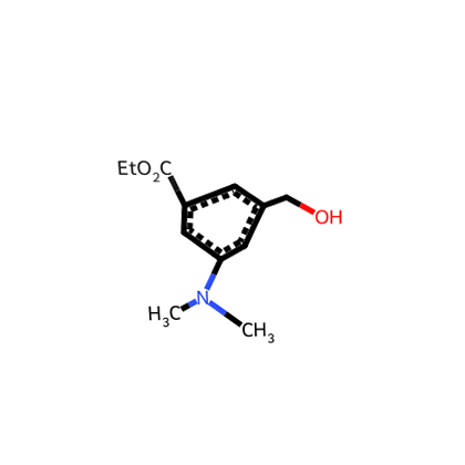 CCOC(=O)c1cc(CO)cc(N(C)C)c1